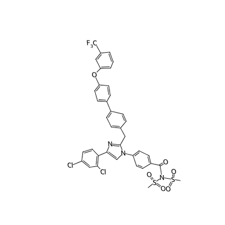 CS(=O)(=O)N(C(=O)c1ccc(-n2cc(-c3ccc(Cl)cc3Cl)nc2Cc2ccc(-c3ccc(Oc4cccc(C(F)(F)F)c4)cc3)cc2)cc1)S(C)(=O)=O